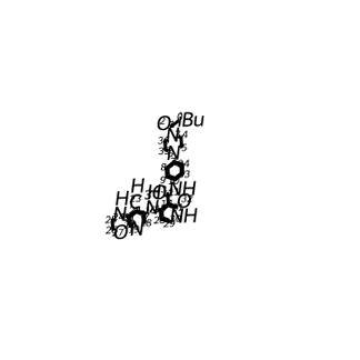 CCC(C)C(=O)N1CCN(c2ccc(NC(=O)c3c(Nc4cnc5c(c4C)NCCO5)cc[nH]c3=O)cc2)CC1